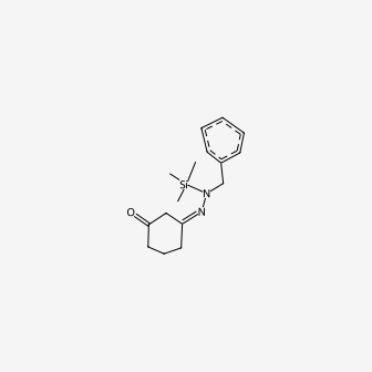 C[Si](C)(C)N(Cc1ccccc1)/N=C1/CCCC(=O)C1